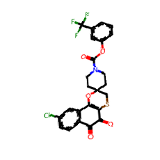 O=C1C(=O)c2ccc(Cl)cc2C2=C1SCC1(CCN(C(=O)Oc3cccc(C(F)(F)F)c3)CC1)O2